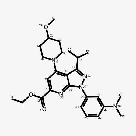 CCOC(=O)c1cc(N2CCC(OC)CC2)c2c(C(C)C)nn(-c3cccc(N(C)C)c3)c2n1